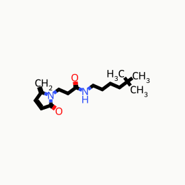 C=C1C=CC(=O)N1CCC(=O)NCCCCC(C)(C)C